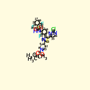 CC(C)(C)OC(=O)N1CCC(c2nc(-c3cccc(NS(=O)(=O)c4c(F)cccc4F)c3F)c(-c3ccnc(Cl)n3)s2)CC1